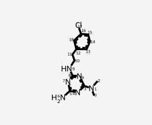 CN(C)c1nc(N)nc(NCCc2cccc(Cl)c2)n1